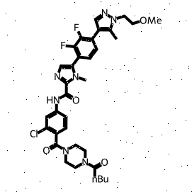 CCCCC(=O)N1CCN(C(=O)c2ccc(NC(=O)c3ncc(-c4ccc(-c5cnn(CCOC)c5C)c(F)c4F)n3C)cc2Cl)CC1